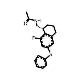 CC(=O)NC[C@@H]1CCCc2cc(Sc3ccccc3)cc(F)c21